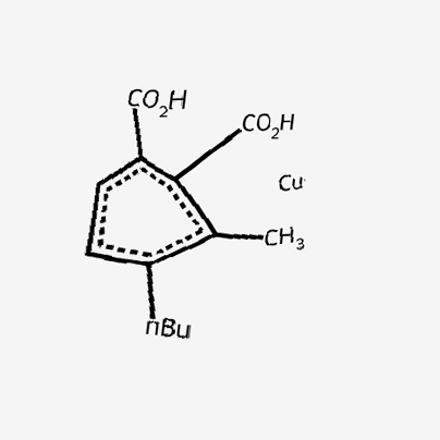 CCCCc1ccc(C(=O)O)c(C(=O)O)c1C.[Cu]